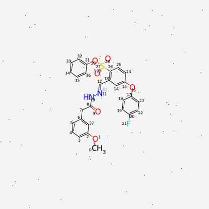 COc1cccc(CC(=O)N/N=C/c2cc(Oc3ccc(F)cc3)ccc2S(=O)(=O)Oc2ccccc2)c1